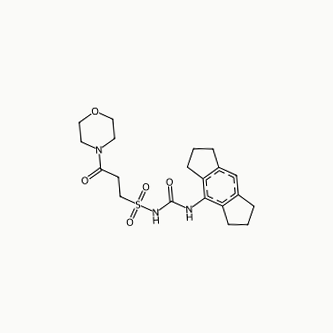 O=C(Nc1c2c(cc3c1CCC3)CCC2)NS(=O)(=O)CCC(=O)N1CCOCC1